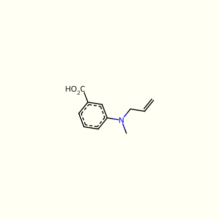 C=CCN(C)c1cccc(C(=O)O)c1